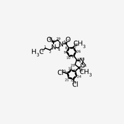 CCCN1CN(C(=O)c2ccc(C3=NOC(C)(c4cc(Cl)cc(Cl)c4)C3)cc2C)CC1=O